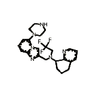 FC(F)(F)CN(Cc1cn2c(N3CCNCC3)cccc2n1)C1CCCc2cccnc21